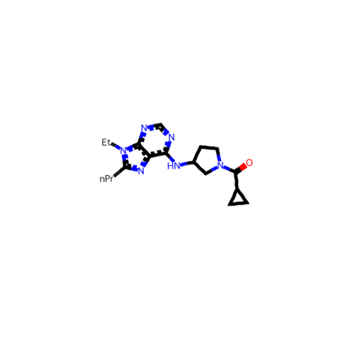 CCCc1nc2c(NC3CCN(C(=O)C4CC4)C3)ncnc2n1CC